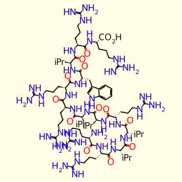 CC(C)[C@H](NC(=O)[C@H](Cc1c[nH]c2ccccc12)NC(=O)[C@H](CCCNC(=N)N)NC(=O)[C@H](CCCNC(=N)N)NC(=O)[C@@H](NC(=O)[C@@H](NC(=O)[C@H](CCCNC(=N)N)NC(=O)[C@@H](NC(=O)[C@@H](NC(=O)[C@H](CCCNC(=N)N)NC(=O)[C@@H](N)CCCNC(=N)N)C(C)C)C(C)C)C(C)C)C(C)C)C(=O)N[C@@H](CCCNC(=N)N)C(=O)N[C@@H](CCCNC(=N)N)C(=O)O